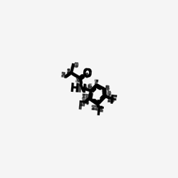 CC(C)C(=O)Nc1ccc(F)c(F)c1F